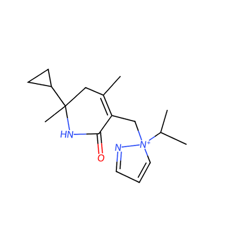 CC1=C(C[N+]2(C(C)C)C=CC=N2)C(=O)NC(C)(C2CC2)C1